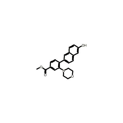 COC(=O)c1ccc(-c2ccc3cc(O)ccc3c2)c(N2CCOCC2)c1